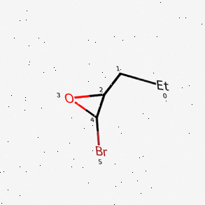 CCCC1OC1Br